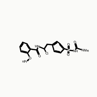 CCCOc1ccccc1C(=O)NC(Cl)Cc1ccc(S(=O)(=O)NC(=O)NC)cc1